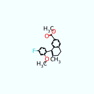 COC(=O)c1ccc2c(c1)C(c1ccc(F)cc1OC)=C(C)CC2